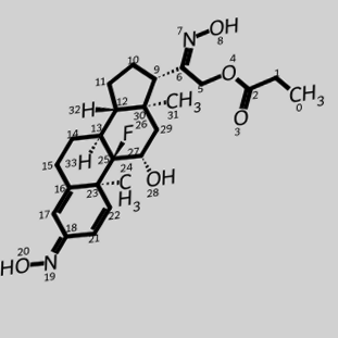 CCC(=O)OC/C(=N\O)[C@H]1CC[C@H]2[C@@H]3CCC4=CC(=NO)C=C[C@]4(C)[C@@]3(F)[C@@H](O)C[C@]12C